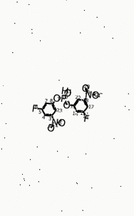 O=[N+]([O-])c1cc(F)cc(O[PH](=O)Oc2cc(F)cc([N+](=O)[O-])c2)c1